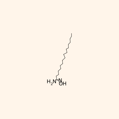 CCCCCCCCCCCCCCCCCC(N)=NO